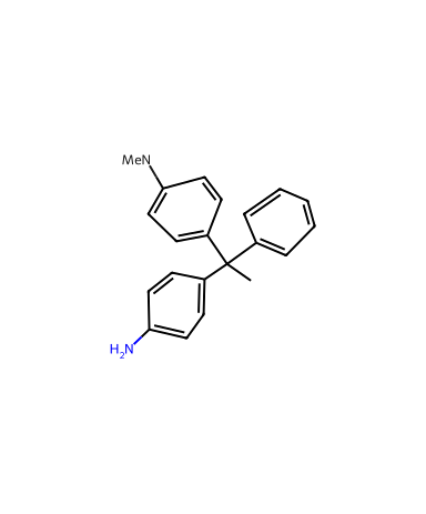 CNc1ccc(C(C)(c2ccccc2)c2ccc(N)cc2)cc1